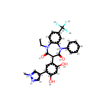 CCN1C(=O)C(c2cc(-c3cnn(C)c3)c(O)cc2O)C(=O)N(c2ccccc2)c2cc(C(F)(F)F)ccc21